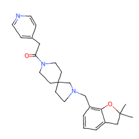 CC1(C)Cc2cccc(CN3CCC4(CCN(C(=O)Cc5ccncc5)CC4)C3)c2O1